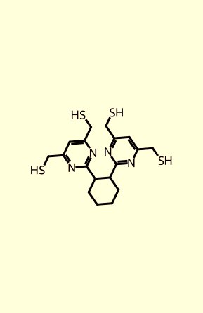 SCc1cc(CS)nc(C2CCCCC2c2nc(CS)cc(CS)n2)n1